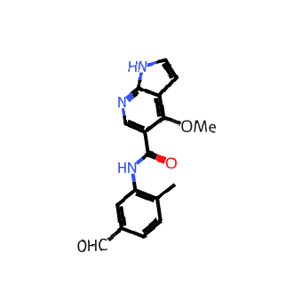 COc1c(C(=O)Nc2cc(C=O)ccc2C)cnc2[nH]ccc12